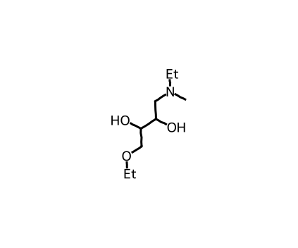 CCOCC(O)C(O)CN(C)CC